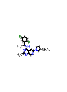 CC(=O)N[C@@H]1CCN(c2cc3c(N[C@@H](C)c4cc(F)ccc4F)nc(C)nc3cn2)C1